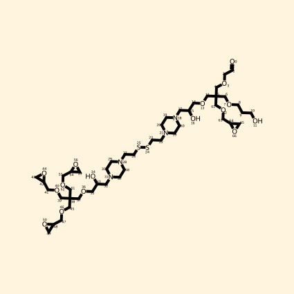 O=CCOCC(COCCCO)(COCC(O)CN1CCN(CCSSCCN2CCN(CC(O)COCC(COCC3CO3)(COCC3CO3)COCC3CO3)CC2)CC1)COCC1CO1